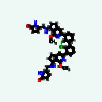 COc1nc(-c2cccc(-c3cccc(-c4cc5c(c(OC)n4)[C@H](NC[C@@H]4CCC(=O)N4)CC5)c3F)c2Cl)cc2c1[C@@H](NC[C@@H]1CCC(=O)N1)CC2